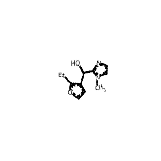 CCc1occc1C(O)c1nccn1C